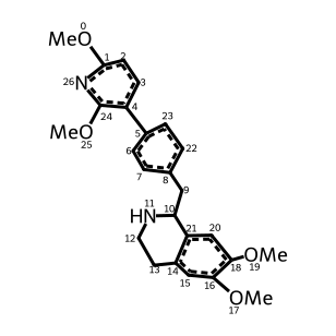 COc1ccc(-c2ccc(CC3NCCc4cc(OC)c(OC)cc43)cc2)c(OC)n1